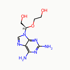 Nc1nc(N)c2ncn([C@@H](CO)OCCO)c2n1